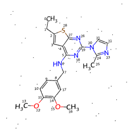 CCc1cc2c(NCc3ccc(OC)c(OC)c3)nc(-n3ccnc3C)nc2s1